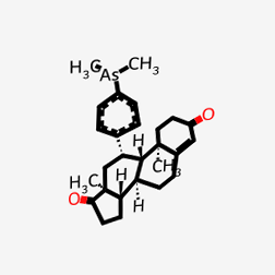 C[As](C)c1ccc([C@H]2C[C@]3(C)C(=O)CC[C@H]3[C@@H]3CCC4=CC(=O)CC[C@]4(C)[C@H]32)cc1